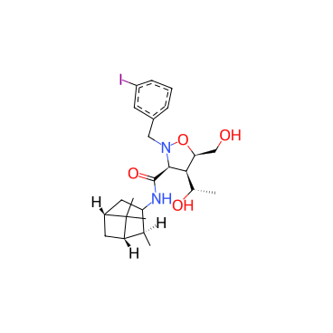 C[C@H](O)[C@@H]1[C@H](CO)ON(Cc2cccc(I)c2)[C@@H]1C(=O)NC1C[C@H]2C[C@@H]([C@@H]1C)C2(C)C